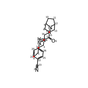 CCCCNC(=O)N1CC2CCC(C1)N2CCCNc1ccc(C#N)cc1